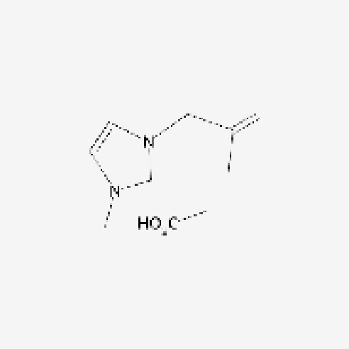 C=C(C)CN1C=CN(C)C1.CC(=O)O